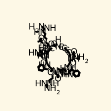 CC(=O)N[C@@H](CCCNC(=N)N)C(=O)N[C@H]1CC(=O)NCCCC[C@@H](C(N)=O)NC(=O)[C@H](Cc2c[nH]c3ccccc23)NC(=O)[C@H]2CN(C(=O)[C@@H](Cc3ccccc3)NC(=O)[C@H](Cc3c[nH]cn3)NC1=O)[C@@H](CCCNC(=N)N)C(=O)N2